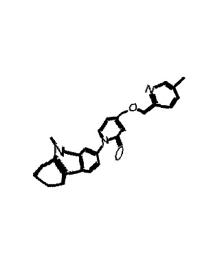 Cc1ccc(COc2ccn(-c3ccc4c5c(n(C)c4c3)CCCC5)c(=O)c2)nc1